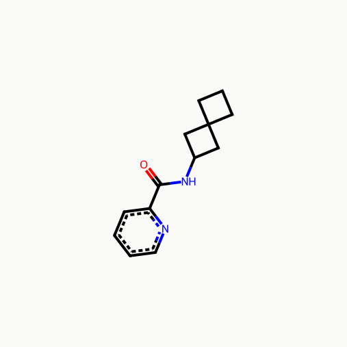 O=C(NC1CC2(CCC2)C1)c1ccccn1